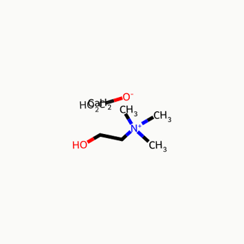 C[N+](C)(C)CCO.O=C([O-])O.[CaH2]